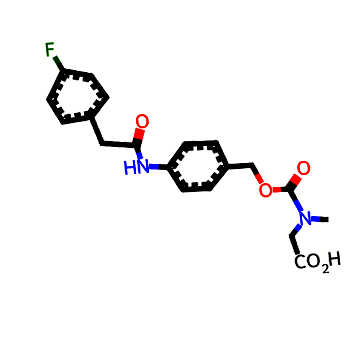 CN(CC(=O)O)C(=O)OCc1ccc(NC(=O)Cc2ccc(F)cc2)cc1